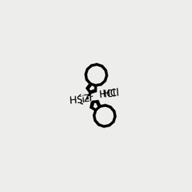 C[SiH](C)[Zr]([C]1=CC2CCCCCCCCCCC2=C1)[C]1=CC2CCCCCCCCCCC2=C1.Cl.Cl